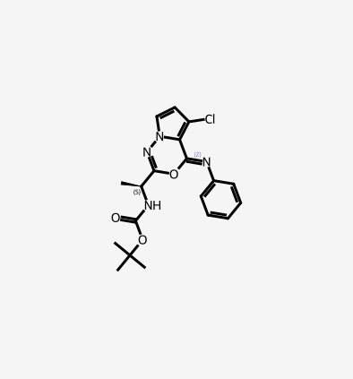 C[C@H](NC(=O)OC(C)(C)C)c1nn2ccc(Cl)c2/c(=N/c2ccccc2)o1